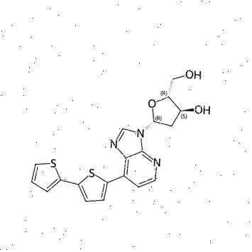 OC[C@H]1O[C@@H](n2cnc3c(-c4ccc(-c5cccs5)s4)ccnc32)C[C@@H]1O